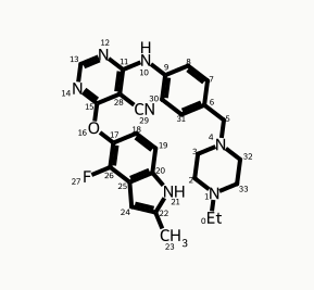 CCN1CCN(Cc2ccc(Nc3ncnc(Oc4ccc5[nH]c(C)cc5c4F)c3C#N)cc2)CC1